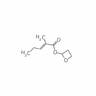 CCC=C(C)C(=O)OC1CCO1